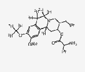 [2H]C([2H])([2H])Oc1cc2c(cc1OC)C1([2H])CC(OC(=O)[C@@H](N)C(C)C)C(CC(C)C)CN1C([2H])([2H])C2([2H])[2H]